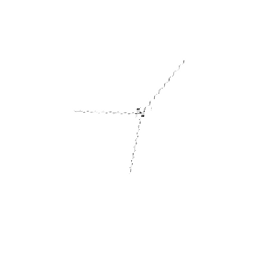 CCCCCCCCCCCCCCCCCC[N+](CCCCCCCCCCCCCCCCCC)(CCCCCCCCCCCCCCCCCC)C(C)C